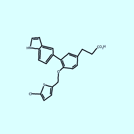 O=C(O)CCc1ccc(OCc2ccc(Cl)s2)c(-c2ccc3[nH]ccc3c2)c1